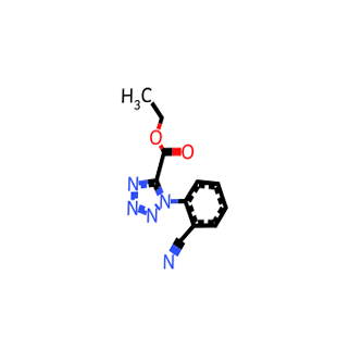 CCOC(=O)c1nnnn1-c1ccccc1C#N